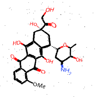 COc1cccc2c1C(=O)c1c(O)c3c(c(O)c1C2=O)C[C@@](O)(C(=O)CO)C[C@@H]3C1CC(N)C(O)C(C)O1